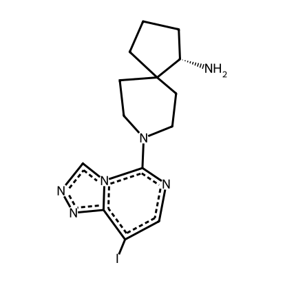 N[C@H]1CCCC12CCN(c1ncc(I)c3nncn13)CC2